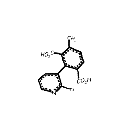 Cc1ccc(C(=O)O)c(-c2cccnc2Cl)c1C(=O)O